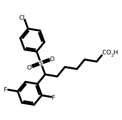 O=C(O)CCCCCC(c1cc(F)ccc1F)S(=O)(=O)c1ccc(Cl)cc1